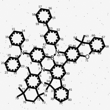 Cc1cc2c(cc1N1c3cc(N(c4ccccc4)c4ccccc4)ccc3B3c4c(cc5c(c41)C(C)(C)c1ccccc1-5)-c1cc4c(cc1N3c1ccc(-c3ccccc3)cc1)C(C)(C)c1ccccc1O4)C(C)(C)CCC2(C)C